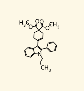 CCCn1c(-c2ccccc2)c(C2=CCC(C(=O)OC)(C(=O)OC)CC2)c2ccccc21